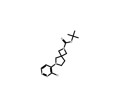 CC(C)(C)OC(=O)N1CC2(CCN(c3ccnnc3Cl)C2)C1